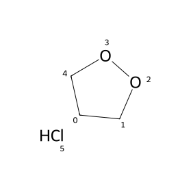 C1COOC1.Cl